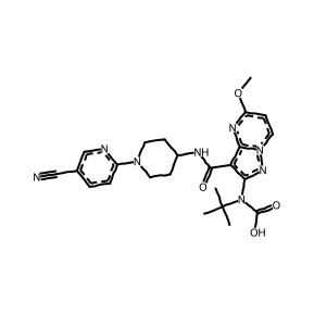 COc1ccn2nc(N(C(=O)O)C(C)(C)C)c(C(=O)NC3CCN(c4ccc(C#N)cn4)CC3)c2n1